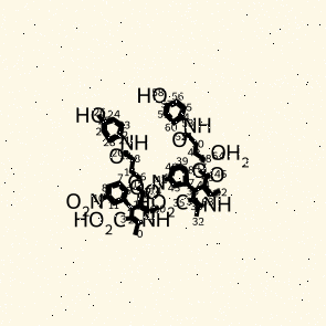 CC1=C(C(=O)O)C(c2cccc([N+](=O)[O-])c2)C(C(=O)OCCCC(=O)Nc2ccc(O)cc2)=C(C)N1.CC1=C(C(=O)O)C(c2cccc([N+](=O)[O-])c2)C(C(=O)OCCCC(=O)Nc2ccc(O)cc2)=C(C)N1.O